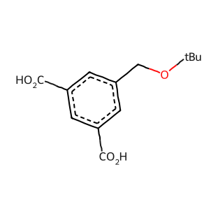 CC(C)(C)OCc1cc(C(=O)O)cc(C(=O)O)c1